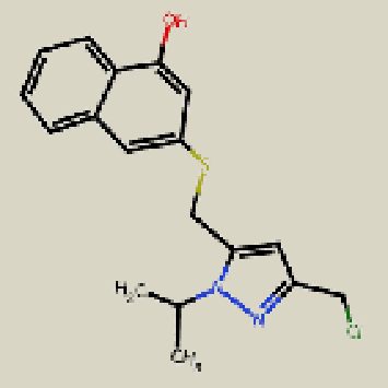 CC(C)n1nc(CCl)cc1CSc1cc(O)c2ccccc2c1